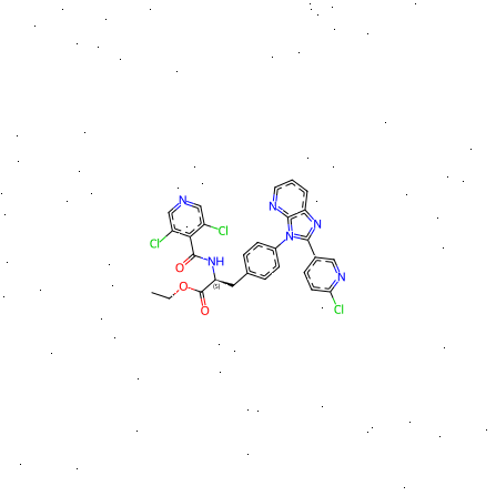 CCOC(=O)[C@H](Cc1ccc(-n2c(-c3ccc(Cl)nc3)nc3cccnc32)cc1)NC(=O)c1c(Cl)cncc1Cl